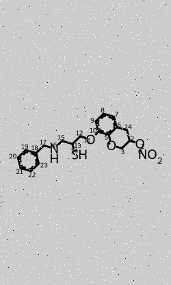 O=[N+]([O-])OC1COc2c(cccc2OCC(S)CNCc2ccccc2)C1